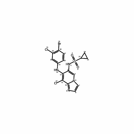 O=S(=O)(Nc1cn2ccnc2c(Cl)c1Nc1ccc(Br)c(Cl)c1)C1CC1